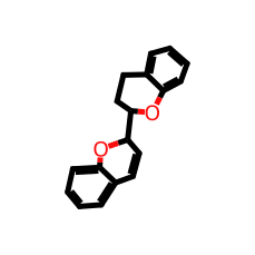 C1=CC(C2CCc3ccccc3O2)Oc2ccccc21